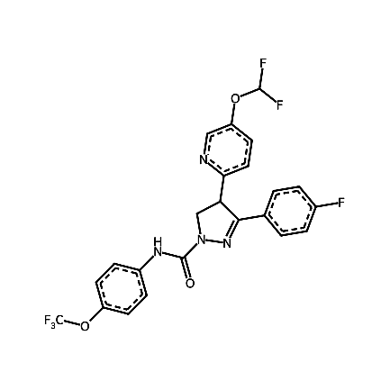 O=C(Nc1ccc(OC(F)(F)F)cc1)N1CC(c2ccc(OC(F)F)cn2)C(c2ccc(F)cc2)=N1